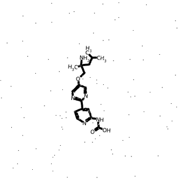 CC(C)CC(C)(N)COc1cnc(-c2ccnc(NC(=O)O)c2)nc1